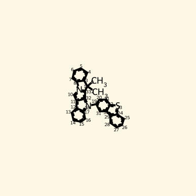 CC1(C)c2ccccc2-n2cc3c4ccccc4n(-c4ccc5sc6ccccc6c5c4)c3c21